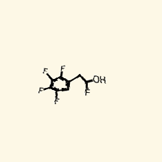 OC(F)Cc1cc(F)c(F)c(F)c1F